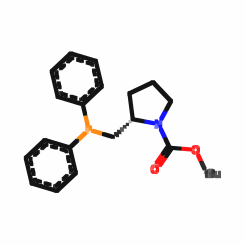 CC(C)(C)OC(=O)N1CCC[C@H]1CP(c1ccccc1)c1ccccc1